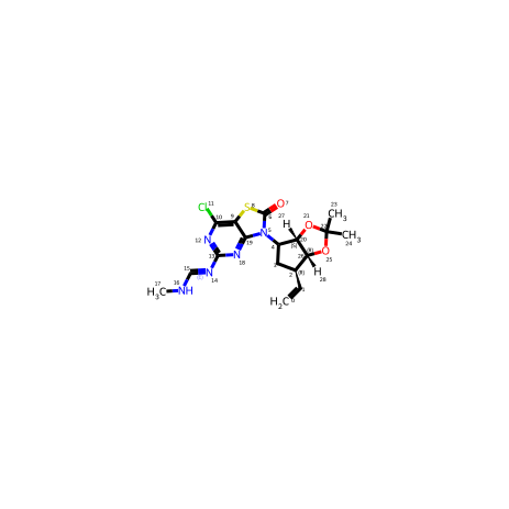 C=C[C@H]1CC(n2c(=O)sc3c(Cl)nc(/N=C/NC)nc32)[C@@H]2OC(C)(C)O[C@H]12